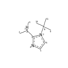 C[SH](C)c1nccn1C(C)(C)C